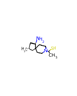 CC(S)N1CCC2(CC1)C[C@H](C)C[C@H]2N